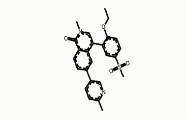 CCOc1ccc(S(C)(=O)=O)cc1-c1cn(C)c(=O)c2ccc(-c3ccc(C)nc3)cc12